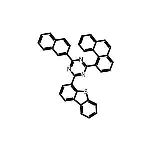 c1ccc2cc(-c3nc(-c4cccc5c4sc4ccccc45)nc(-c4cccc5ccc6ccccc6c45)n3)ccc2c1